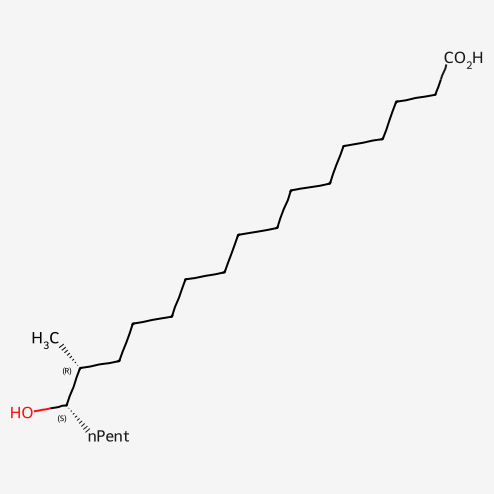 CCCCC[C@H](O)[C@H](C)CCCCCCCCCCCCCC(=O)O